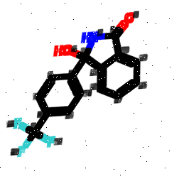 O=C1NC(O)(c2ccc(C(F)(F)F)cc2)c2ccccc21